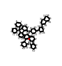 c1ccc(C2(c3ccccc3)c3ccccc3-c3c(N(c4ccc(-c5cccc(-c6ccc7ccccc7c6)c5)cc4)c4ccc(-c5ccccc5-n5c6ccccc6c6ccccc65)cc4)cccc32)cc1